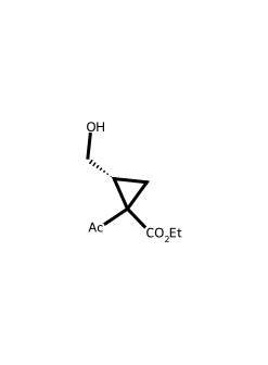 CCOC(=O)C1(C(C)=O)C[C@H]1CO